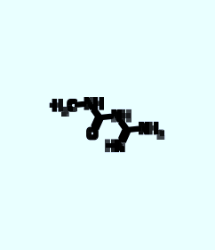 [CH2]NC(=O)NC(=N)N